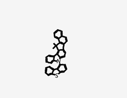 CC1(C)c2c(ccc3ccccc23)-c2ccc3c(c21)c1ccccc1n3-c1cccc2sc3ccccc3c12